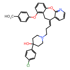 O=C(O)c1ccc(Oc2cccc3c2CC(=CCCN2CCC(O)(c4ccc(Cl)cc4)CC2)c2cccnc2O3)cc1